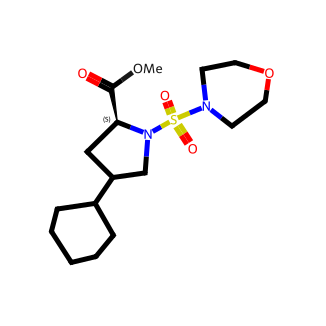 COC(=O)[C@@H]1CC(C2CCCCC2)CN1S(=O)(=O)N1CCOCC1